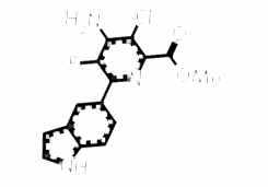 COC(=O)c1nc(-c2ccc3[nH]ccc3c2)c(F)c(N)c1Cl